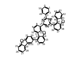 c1ccc(-c2nc(-c3cccc4c3oc3cccc(-c5ccc6oc7ccccc7c6c5)c34)nc(-c3cccc4oc5ccccc5c34)n2)cc1